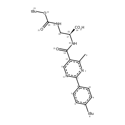 Cc1nc(-c2ccc(C(C)(C)C)cc2)ncc1C(=O)N[C@@H](CNC(=O)OC(C)(C)C)C(=O)O